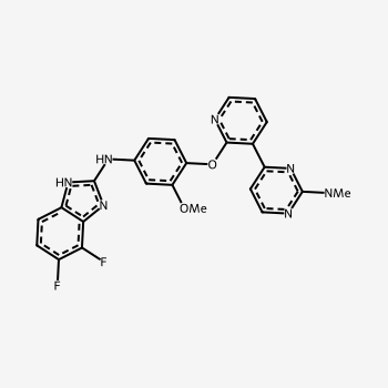 CNc1nccc(-c2cccnc2Oc2ccc(Nc3nc4c(F)c(F)ccc4[nH]3)cc2OC)n1